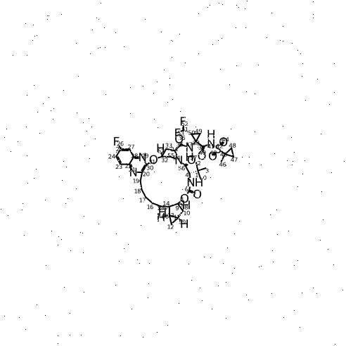 CC(C)(C)[C@@H]1NC(=O)O[C@@H]2C[C@@H]3C[C@@H]3[C@H]2CCCCCc2nc3ccc(F)cc3nc2O[C@@H]2C[C@@H](C(=O)N[C@]3(C(=O)NS(=O)(=O)C4(C)CC4)C[C@H]3C(F)F)N(C2)C1=O